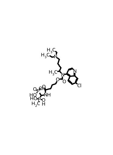 C=P(O)(O)C(NC(=O)CCCOC(=O)N(c1ccnc2cc(Cl)ccc12)C(C)CCCN(CC)CC)P(=O)(O)O